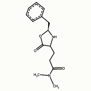 CN(C)C(=O)CCC1N[C@H](Cc2ccccc2)OC1=O